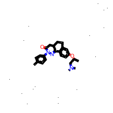 Cc1ccc(N2N=C3c4ccc(OC(C)CN(C)C)cc4CCC3CC2=O)cc1